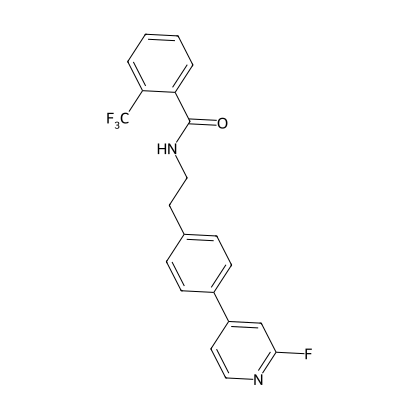 O=C(NCCc1ccc(-c2ccnc(F)c2)cc1)c1ccccc1C(F)(F)F